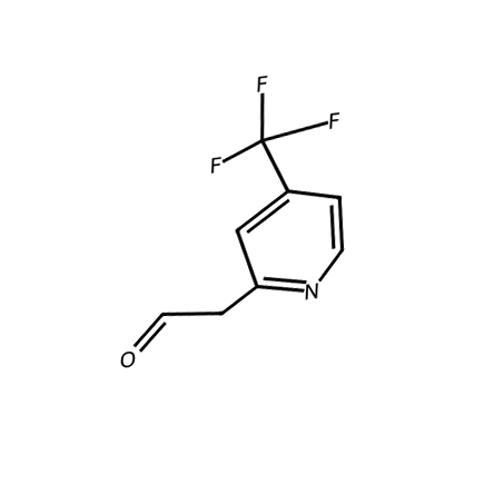 O=CCc1cc(C(F)(F)F)ccn1